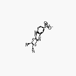 N#CC1=C(C#N)Sc2nc3cc([N+](=O)[O-])ccc3nc2S1